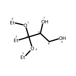 CCOC(CC)(OCC)C(O)CO